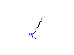 [CH2]CCCNCCCCCO